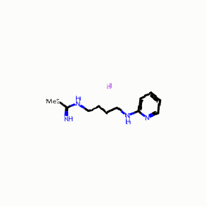 CSC(=N)NCCCCNc1ccccn1.I